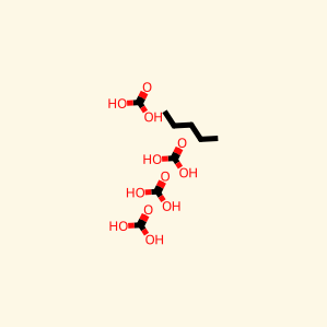 CCCCC.O=C(O)O.O=C(O)O.O=C(O)O.O=C(O)O